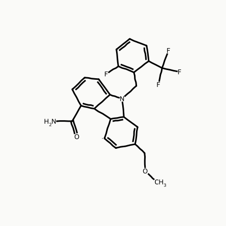 COCc1c[c]c2c3c(C(N)=O)cccc3n(Cc3c(F)cccc3C(F)(F)F)c2c1